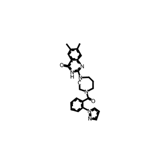 Cc1cc2nc(N3CCCN(C(=O)c4ccccc4-n4cccn4)CC3)[nH]c(=O)c2cc1C